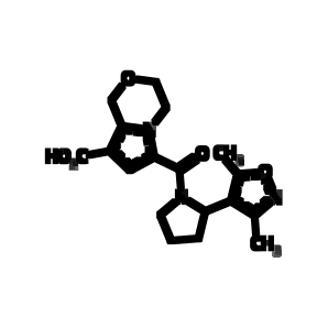 Cc1noc(C)c1C1CCCN1C(=O)c1cc(C(=O)O)c2n1CCOC2